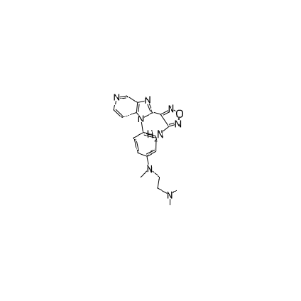 CN(C)CCN(C)c1ccc(-n2c(-c3nonc3N)nc3cnccc32)cc1